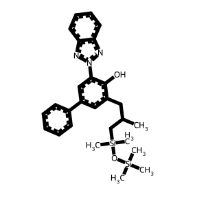 CC(Cc1cc(-c2ccccc2)cc(-n2nc3ccccc3n2)c1O)C[Si](C)(C)O[Si](C)(C)C